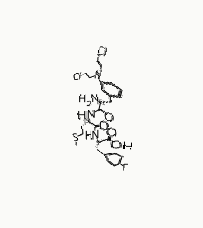 CSCC[C@H](NC(=O)[C@@H](N)Cc1cccc(N(CCCl)CCCl)c1)C(=O)N[C@@H](Cc1ccc(F)cc1)C(=O)O